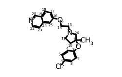 CC1(Oc2ccc(Cl)cc2)CCN(CCOc2ccc3cnccc3c2)C1